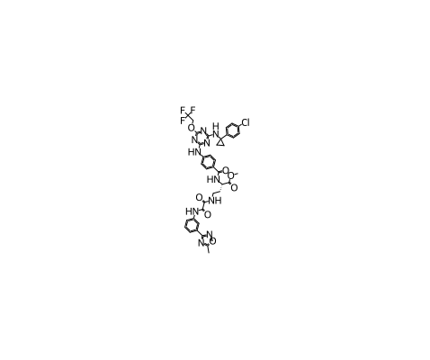 COC(=O)[C@H](CCNC(=O)C(=O)Nc1cccc(-c2noc(C)n2)c1)NC(=O)c1ccc(Nc2nc(NC3(c4ccc(Cl)cc4)CC3)nc(OCC(F)(F)F)n2)cc1